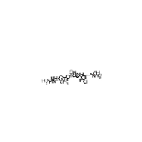 CC(N)CCCc1cc(Cl)c(F)c(-c2cc3cn(-c4ccc(C5CCCC(C)(CCNC(=N)CN)N5)cc4)c(=O)nc3[nH]2)c1